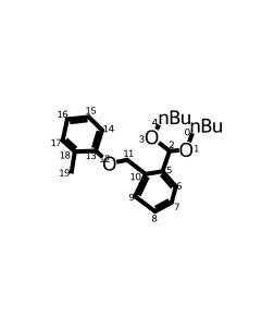 CCCCOC(OCCCC)c1ccccc1COc1ccccc1C